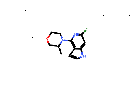 CC1COCCN1c1nc(Cl)cc2[nH]ccc12